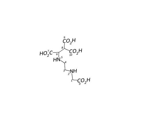 O=C(O)CNCCNC(C(=O)O)C(C(=O)O)C(=O)O